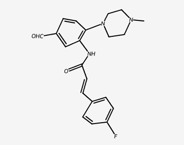 CN1CCN(c2ccc(C=O)cc2NC(=O)C=Cc2ccc(F)cc2)CC1